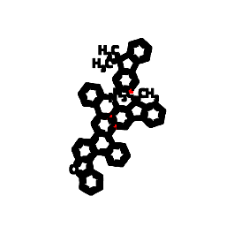 CC1(C)c2ccccc2-c2ccc(N(c3ccccc3-c3ccc4c5ccccc5c5c(ccc6oc7ccccc7c65)c4c3)c3cccc4c3C(C)(C)c3ccccc3-4)cc21